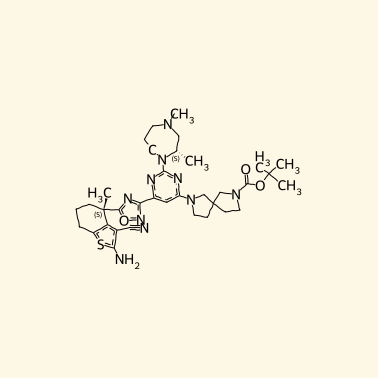 C[C@H]1CN(C)CCCN1c1nc(-c2noc([C@@]3(C)CCCc4sc(N)c(C#N)c43)n2)cc(N2CCC3(CCN(C(=O)OC(C)(C)C)C3)C2)n1